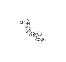 CCOC(=O)c1nn(CC(=O)N2CC[C@H](Oc3ncccc3Cl)CC23CC3)c2c1CCCC2